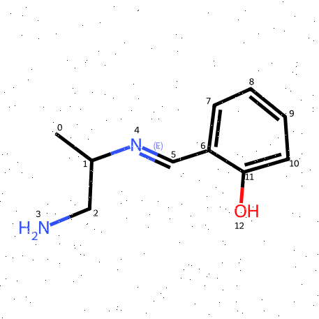 CC(CN)/N=C/c1ccccc1O